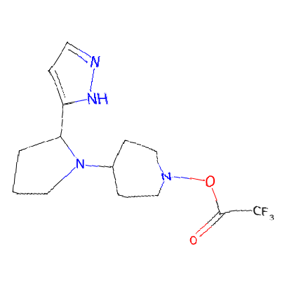 O=C(ON1CCC(N2CCCC2c2ccn[nH]2)CC1)C(F)(F)F